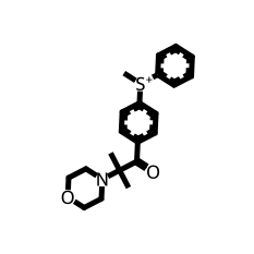 C[S+](c1ccccc1)c1ccc(C(=O)C(C)(C)N2CCOCC2)cc1